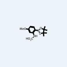 COc1ccc(B2OC(C)(C)C(C)(C)O2)c(NC(=O)O)c1